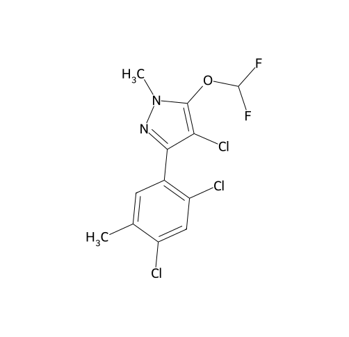 Cc1cc(-c2nn(C)c(OC(F)F)c2Cl)c(Cl)cc1Cl